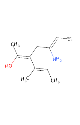 CC=C(C)/C(C/C(N)=C/CC)=C(/C)O